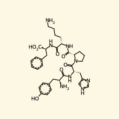 NCCCC[C@H](NC(=O)[C@@H]1CCCN1C(=O)[C@H](Cc1c[nH]cn1)NC(=O)[C@@H](N)Cc1ccc(O)cc1)C(=O)N[C@@H](Cc1ccccc1)C(=O)O